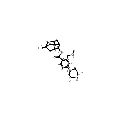 COCc1nc(N2C[C@@H](C)O[C@@H](C)C2)ncc1C(=O)NC1C2CC3CC1CC(O)(C3)C2